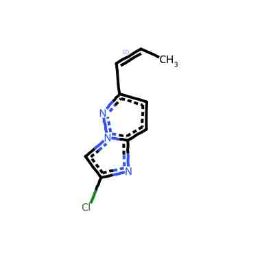 C/C=C\c1ccc2nc(Cl)cn2n1